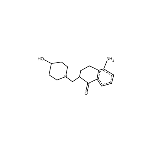 Nc1cccc2c1CCC(CN1CCC(O)CC1)C2=O